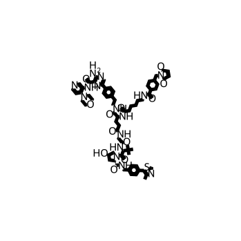 Cc1ncsc1-c1ccc(CNC(=O)[C@@H]2C[C@@H](O)CN2C(=O)C(NC(=O)CNC(=O)CCC(NC(=O)CCCCCNC(=O)C2CCC(CN3C(=O)C=CC3=O)CC2)C(=O)NCCc2ccc(-c3cnc(N)c(C(=O)Nc4cnccc4N4CCOCC4)n3)cc2)C(C)(C)C)cc1